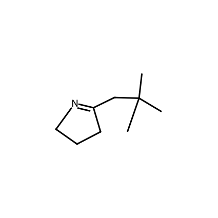 CC(C)(C)CC1=NCCC1